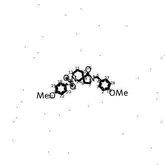 COc1ccc(CN2CCC3(CCCN(S(=O)(=O)c4ccc(OC)cc4)C3)C2=O)cc1